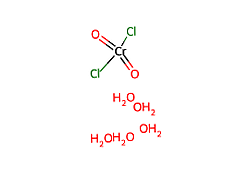 O.O.O.O.O.[O]=[Cr](=[O])([Cl])[Cl]